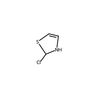 ClC1NC=CS1